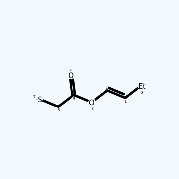 CCC=COC(=O)C[S]